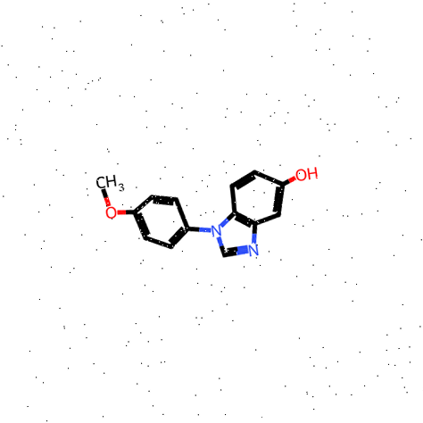 COc1ccc(-n2cnc3cc(O)ccc32)cc1